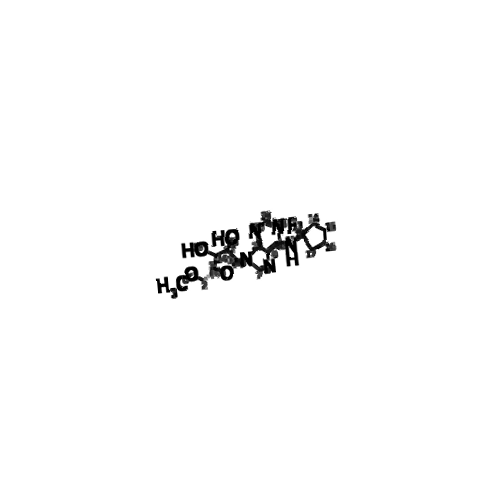 COC[C@H]1O[C@@H](n2cnc3c(NC4(F)CCCC4)ncnc32)C(O)C1O